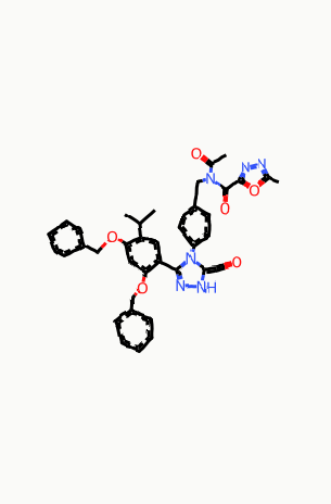 CC(=O)N(Cc1ccc(N2C(=C=O)NN=C2c2cc(C(C)C)c(OCc3ccccc3)cc2OCc2ccccc2)cc1)C(=O)c1nnc(C)o1